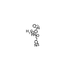 COc1cc(C2=NCCc3ccccc32)ccc1NC(=O)C=Cc1ccc2ncsc2c1